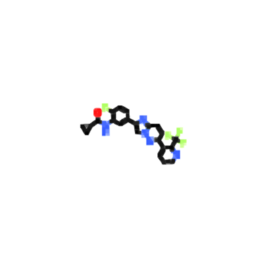 O=C(Nc1cc(-c2cn3nc(-c4cccnc4C(F)(F)F)ccc3n2)ccc1F)C1CC1